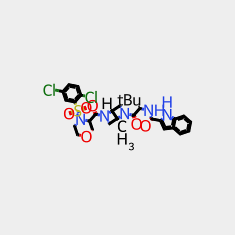 CC(C)(C)[C@H](NC(=O)c1cc2ccccc2[nH]1)C(=O)N1C[C@H]2N(C(=O)C3COCCN3S(=O)(=O)c3cc(Cl)ccc3Cl)CC21C